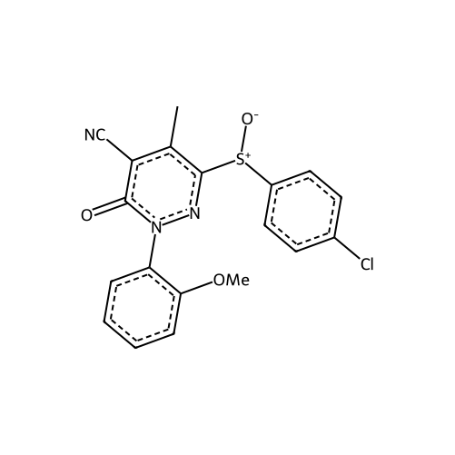 COc1ccccc1-n1nc([S+]([O-])c2ccc(Cl)cc2)c(C)c(C#N)c1=O